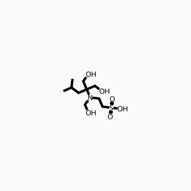 CC(C)CC(CO)(CO)N(CO)CCS(=O)(=O)O